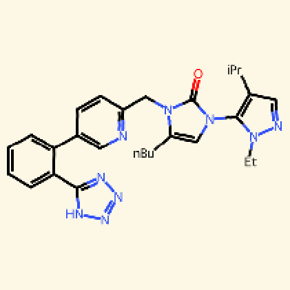 CCCCc1cn(-c2c(C(C)C)cnn2CC)c(=O)n1Cc1ccc(-c2ccccc2-c2nnn[nH]2)cn1